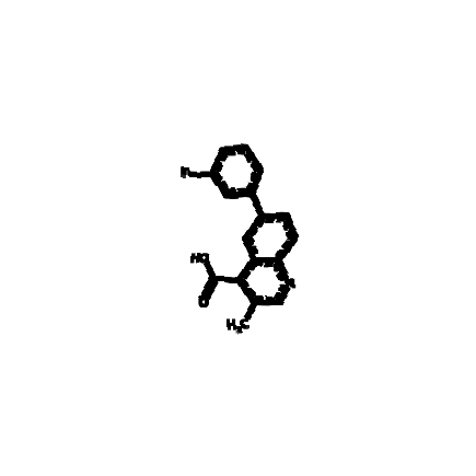 Cc1cnc2ccc(-c3cccc(F)c3)cc2c1C(=O)O